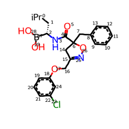 CC(C)C[C@H](NC(=O)C1(Cc2ccccc2)CC(COc2cccc(Cl)c2)=NO1)B(O)O